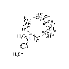 CCc1nc(/C=C(\C)C2C[C@@H]3O[C@]3(C)CCC[C@H](C)[C@H](O)[C@@H](C)C(=O)C(C)(C)[C@@H](O)CC(=O)N2)cs1